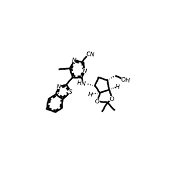 Cc1nc(C#N)nc(N[C@@H]2C[C@H](CO)[C@H]3OC(C)(C)O[C@H]32)c1-c1nc2ccccc2s1